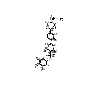 CCCCCC1COC(c2ccc(-c3cc(F)c(C(F)(F)Oc4cc(C)c(F)c(F)c4)c(F)c3)c(F)c2)OC1